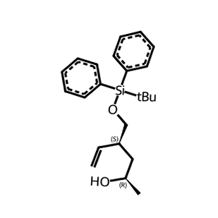 C=C[C@@H](CO[Si](c1ccccc1)(c1ccccc1)C(C)(C)C)C[C@@H](C)O